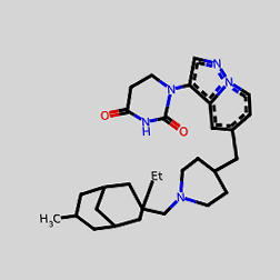 CCC1(CN2CCC(Cc3ccn4ncc(N5CCC(=O)NC5=O)c4c3)CC2)CC2CC(C)CC(C2)C1